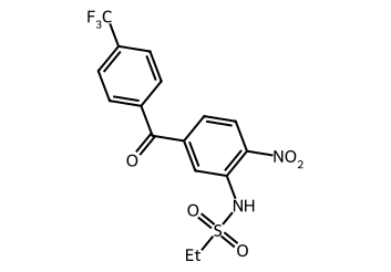 CCS(=O)(=O)Nc1cc(C(=O)c2ccc(C(F)(F)F)cc2)ccc1[N+](=O)[O-]